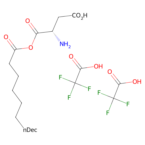 CCCCCCCCCCCCCCCC(=O)OC(=O)[C@@H](N)CC(=O)O.O=C(O)C(F)(F)F.O=C(O)C(F)(F)F